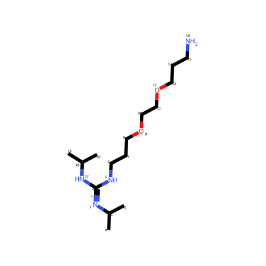 CC(C)/N=C(\NCCCOCCOCCCN)NC(C)C